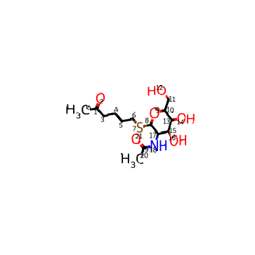 CC(=O)CCCCSC1OC(CO)C(O)C(O)C1NC(C)=O